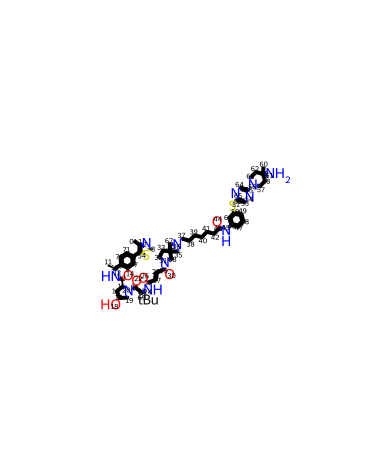 Cc1ncsc1-c1ccc([C@H](C)NC(=O)[C@@H]2C[C@@H](O)CN2C(=O)C(NC(=O)/C=C/C(=O)N2CCC3(CN(CCCCCCC(=O)Nc4cccc(Sc5cnc(N6CCC(C)(N)CC6)cn5)c4)C3)C2)C(C)(C)C)cc1